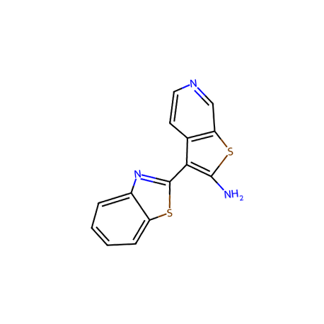 Nc1sc2cnccc2c1-c1nc2ccccc2s1